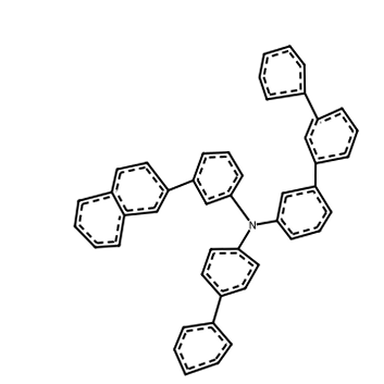 c1ccc(-c2ccc(N(c3cccc(-c4cccc(-c5ccccc5)c4)c3)c3cccc(-c4ccc5ccccc5c4)c3)cc2)cc1